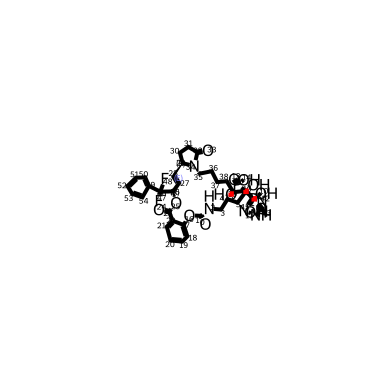 O=C(NCCCC(O)(P(=O)(O)O)P(=O)(O)O)Oc1ccccc1C(=O)O[C@H](/C=C/[C@H]1CCC(=O)N1CCCCCCc1nn[nH]n1)C(F)(F)c1ccccc1